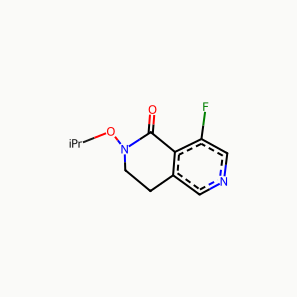 CC(C)ON1CCc2cncc(F)c2C1=O